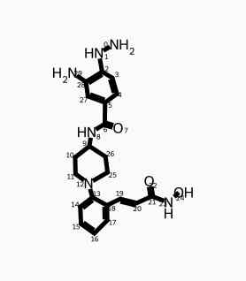 NNc1ccc(C(=O)NC2CCN(c3ccccc3/C=C/C(=O)NO)CC2)cc1N